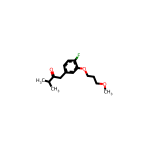 COCCCOc1cc(CC(=O)C(C)C)ccc1F